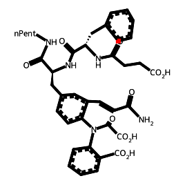 CCCCCNC(=O)[C@H](Cc1ccc(N(C(=O)C(=O)O)c2ccccc2C(=O)O)c(C=CC(N)=O)c1)NC(=O)[C@H](Cc1ccccc1)NC(=O)CCC(=O)O